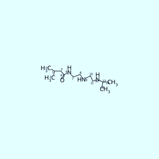 CC(C)CC(=O)NCCNCCNC(C)C